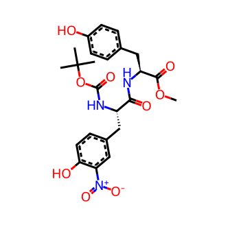 COC(=O)[C@H](Cc1ccc(O)cc1)NC(=O)[C@H](Cc1ccc(O)c([N+](=O)[O-])c1)NC(=O)OC(C)(C)C